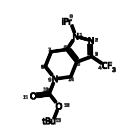 CC(C)n1nc(C(F)(F)F)c2c1CCN(C(=O)OC(C)(C)C)C2